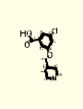 O=C(O)c1cc(Cl)cc(OCc2ccncc2)c1